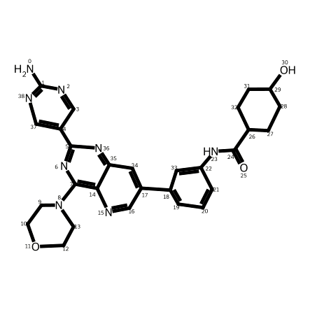 Nc1ncc(-c2nc(N3CCOCC3)c3ncc(-c4cccc(NC(=O)C5CCC(O)CC5)c4)cc3n2)cn1